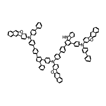 C1=CC2Nc3cc(-c4ccc(-c5ccc(N(C6=CC7Oc8cc9ccccc9cc8C7C=C6)c6ccc(-c7cc(-c8ccc(-c9ccc(N(C%10=CC%11Oc%12cc%13ccccc%13cc%12C%11C=C%10)c%10ccc(-c%11ccccc%11)cc%10)cc9)cc8)ccc7-c7ccccc7)cc6)cc5)cc4)cc(-c4ccc(N(C5=CC6Oc7cc8ccccc8cc7C6C=C5)c5ccc(-c6ccccc6)cc5)cc4)c3C2C=C1